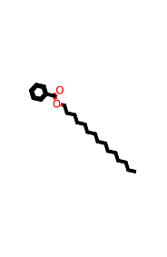 CCCCCCCCCCCCCCCOC(=O)c1ccccc1